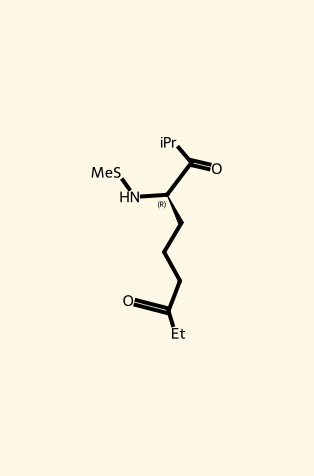 CCC(=O)CCC[C@@H](NSC)C(=O)C(C)C